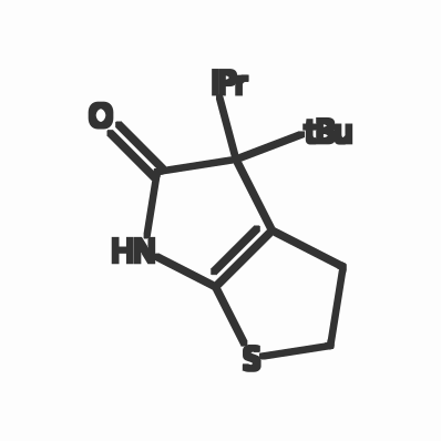 CC(C)C1(C(C)(C)C)C(=O)NC2=C1CCS2